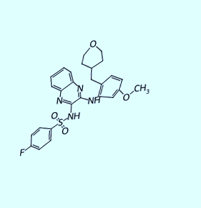 COc1ccc(CC2CCOCC2)c(Nc2nc3ccccc3nc2NS(=O)(=O)c2ccc(F)cc2)c1